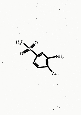 CC(=O)c1ccc(S(C)(=O)=O)cc1N